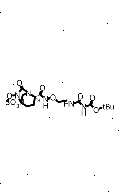 CC(C)(C)OC(=O)NC(=O)NCCONC(=O)[C@@H]1CCC2CN1C(=O)N2OS(=O)(=O)O